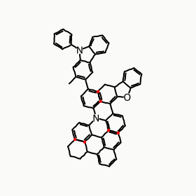 Cc1cc2c(cc1-c1ccc(N(c3ccccc3C3=C4Oc5ccccc5C4CC=C3)c3ccccc3-c3cccc4cccc(C5CCCCC5)c34)cc1)c1ccccc1n2-c1ccccc1